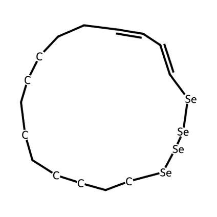 C1=C\CCCCCCCCCCC[Se][Se][Se][Se]/C=C/1